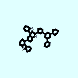 c1ccc(-c2cc(-c3ccccc3)cc(-c3cccc(-c4nc5ccc(-c6cccc7sc8ccccc8c67)cc5c5c4sc4ccccc45)c3)c2)cc1